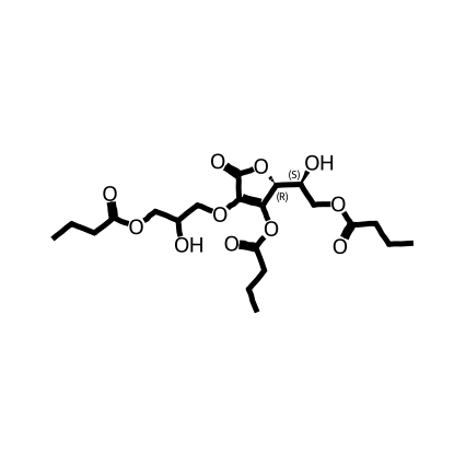 CCCC(=O)OCC(O)COC1=C(OC(=O)CCC)[C@@H]([C@@H](O)COC(=O)CCC)OC1=O